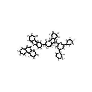 c1ccc(-c2cc(-c3ccccc3)nc(-n3c4ccccc4c4cc(-c5ccc6c(c5)c5ccccc5n6-c5cc6ccccc6c6ccccc56)ccc43)n2)cc1